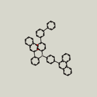 c1ccc(-c2cccc(-c3ccc(N(c4ccc(-c5cc6ccccc6c6ccccc56)cc4)c4ccccc4-c4ccc5ccccc5c4)cc3)c2)cc1